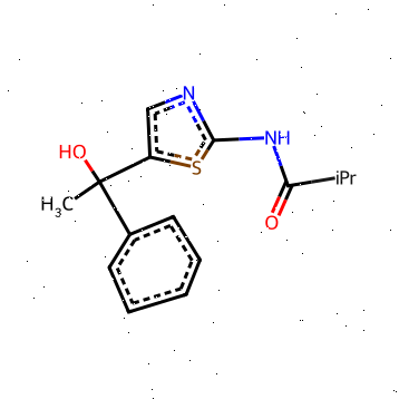 CC(C)C(=O)Nc1ncc(C(C)(O)c2ccccc2)s1